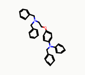 c1ccc(CN(CCOc2ccc(N(Cc3ccccc3)c3ccccc3)cc2)Cc2ccccc2)cc1